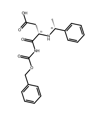 C[C@@H](N[C@@H](CC(=O)O)C(=O)NC(=O)OCc1ccccc1)c1ccccc1